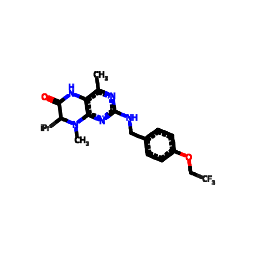 Cc1nc(NCc2ccc(OCC(F)(F)F)cc2)nc2c1NC(=O)C(C(C)C)N2C